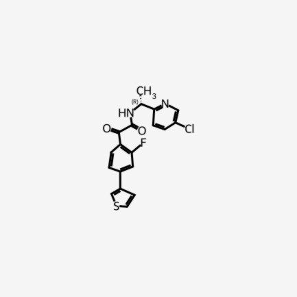 C[C@@H](NC(=O)C(=O)c1ccc(-c2ccsc2)cc1F)c1ccc(Cl)cn1